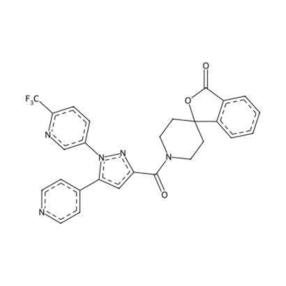 O=C1OC2(CCN(C(=O)c3cc(-c4ccncc4)n(-c4ccc(C(F)(F)F)nc4)n3)CC2)c2ccccc21